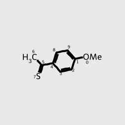 COc1ccc(C(C)=S)cc1